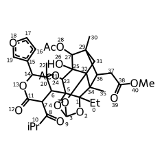 CCC12OC3OC1(C1C(C(=O)C(C)C)C(=O)OC(c4ccoc4)C1(C)C)C(OC(C)=O)C1(O)C(OC(C)=O)C4(C)CC1(O3)C2(C)C4CC(=O)OC